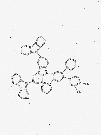 N#Cc1ccc(-c2cc(-c3ccccc3)c(-n3c4ccc(-n5c6ccccc6c6ccccc65)cc4c4cc(-n5c6ccccc6c6ccccc65)ccc43)cc2-c2ccccc2)cc1C#N